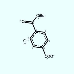 CC(C)COC(=O)c1ccc(C(=O)[O-])cc1.[Cs+]